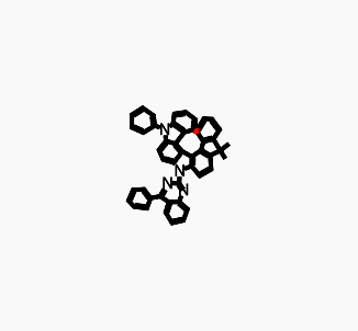 CC1(C)c2cccc3c4cccc5c4c4c6c7c(c1ccc7n(-c1nc(-c7ccccc7)c7ccccc7n1)c6ccc4n5-c1ccccc1)c23